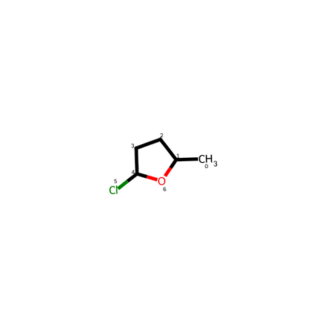 CC1CCC(Cl)O1